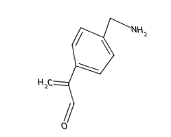 C=C(C=O)c1ccc(CN)cc1